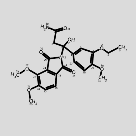 CCOc1cc(C(O)(CC(N)=O)N2C(=O)c3ccc(OC)c(OC)c3C2=O)ccc1OC